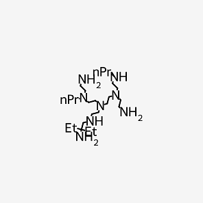 CCCNCCN(CCN)CCN(CCNCC(N)(CC)CC)CCN(CCC)CCN